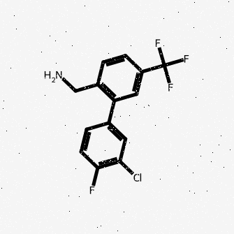 NCc1ccc(C(F)(F)F)cc1-c1ccc(F)c(Cl)c1